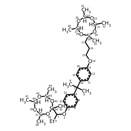 CCC(Oc1ccc(C(C)(C)c2ccc(OCCC[Si]3(C)O[SiH](C)O[SiH](C)O[SiH](C)O3)cc2)cc1)[Si]1(C)O[SiH](C)O[SiH](C)O[SiH](C)O1